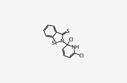 S=c1c2ccccc2[se]n1C1(Cl)C=CC=C(Cl)N1